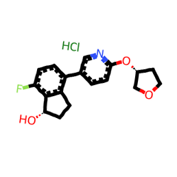 Cl.O[C@H]1CCc2c(-c3ccc(O[C@@H]4CCOC4)nc3)ccc(F)c21